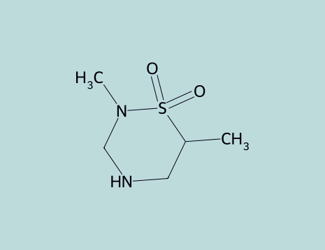 CC1CNCN(C)S1(=O)=O